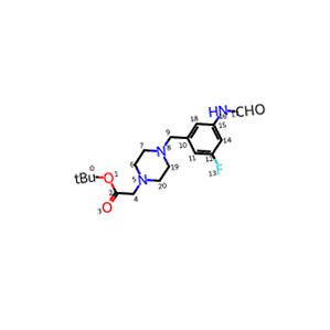 CC(C)(C)OC(=O)CN1CCN(Cc2cc(F)cc(NC=O)c2)CC1